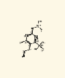 C=CCc1c(C)nc(CN(C)C)nc1C(C)(C)C